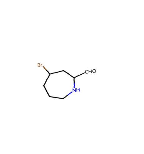 O=CC1CC(Br)CCCN1